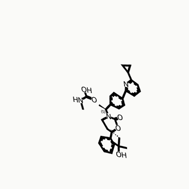 CNC(=O)O.C[C@@H](c1ccc(-c2cccc(C3CC3)n2)cc1)N1CC[C@](CC(C)(C)O)(c2ccccc2)OC1=O